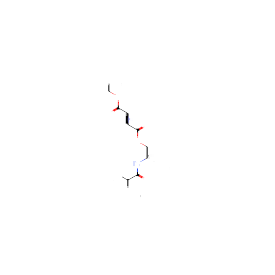 CCOC(=O)/C=C/C(=O)OC[C@H](C)NC(=O)C(C)C